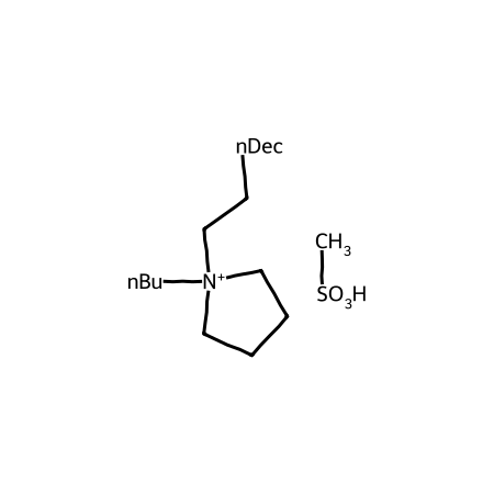 CCCCCCCCCCCC[N+]1(CCCC)CCCC1.CS(=O)(=O)O